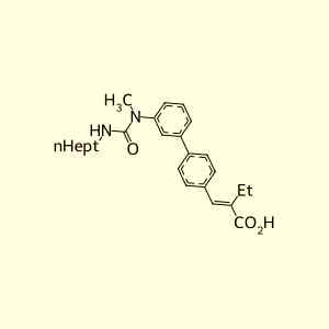 CCCCCCCNC(=O)N(C)c1cccc(-c2ccc(/C=C(\CC)C(=O)O)cc2)c1